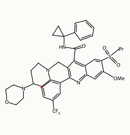 COc1cc2nc(-c3cccc(C(F)(F)F)c3)c(CN3CCC(N4CCOCC4)CC3)c(C(=O)NC3(c4ccccc4)CC3)c2cc1S(=O)(=O)C(C)C